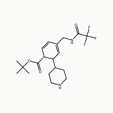 CC(C)(C)OC(=O)N1C=CC(CNC(=O)C(F)(F)F)=CC1C1CCNCC1